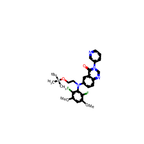 COc1cc(OC)c(F)c(N(CCO[Si](C)(C)C(C)(C)C)c2ccc3ncn(-c4cccnc4)c(=O)c3c2)c1F